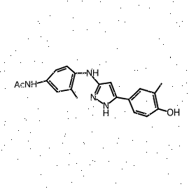 CC(=O)Nc1ccc(Nc2cc(-c3ccc(O)c(C)c3)[nH]n2)c(C)c1